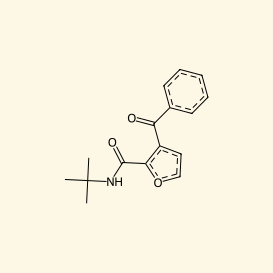 CC(C)(C)NC(=O)c1occc1C(=O)c1ccccc1